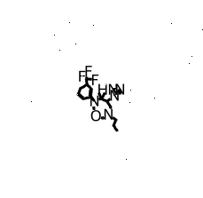 CCCN1COCN(C2=CC(C(F)(F)F)CC=C2)C(C)(C)C(n2cn[nH]2)C1